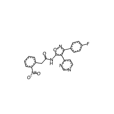 O=C(Cc1ccccc1[N+](=O)[O-])Nc1onc(-c2ccc(F)cc2)c1-c1ccncn1